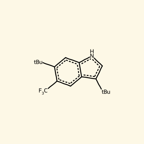 CC(C)(C)c1cc2[nH]cc(C(C)(C)C)c2cc1C(F)(F)F